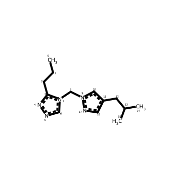 CCCc1nncn1Cn1cc(CC(C)C)cn1